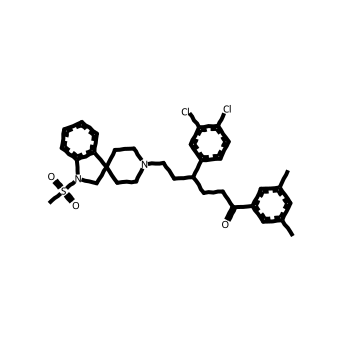 Cc1cc(C)cc(C(=O)CCC(CCN2CCC3(CC2)CN(S(C)(=O)=O)c2ccccc23)c2ccc(Cl)c(Cl)c2)c1